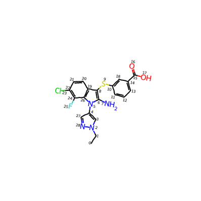 CCn1cc(-n2c(N)c(Sc3cccc(C(=O)O)c3)c3ccc(Cl)c(F)c32)cn1